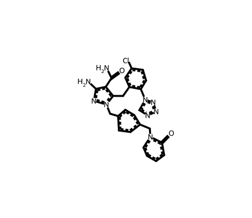 NC(=O)c1c(N)nn(Cc2ccc(Cn3ccccc3=O)cc2)c1Cc1cc(Cl)ccc1-n1cnnn1